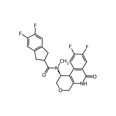 CN(C(=O)C1Cc2cc(F)c(F)cc2C1)[C@@H]1COCc2[nH]c(=O)c3cc(F)c(F)cc3c21